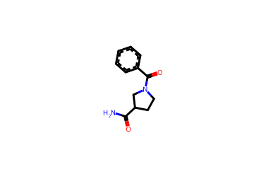 NC(=O)C1CCN(C(=O)c2ccccc2)C1